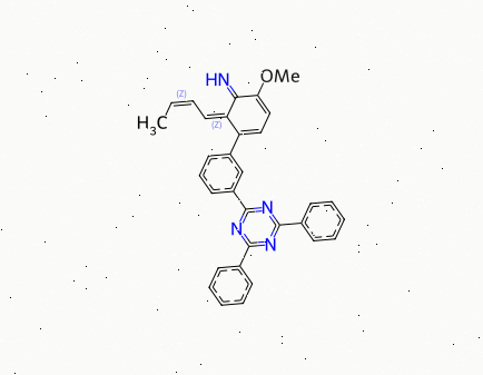 C/C=C\C=C1/C(=N)C(OC)=CC=C1c1cccc(-c2nc(-c3ccccc3)nc(-c3ccccc3)n2)c1